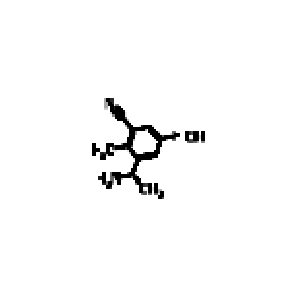 Cc1c(C#N)cc(F)cc1[C@@H](C)N.Cl